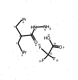 CC(C)CC(CC(C)C)C(=O)NN.O=C(O)C(F)(F)F